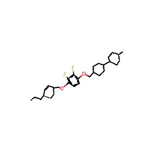 CCCC1C=CC(COc2ccc(OCC3CCC(C4CCC(C)CC4)CC3)c(F)c2F)CC1